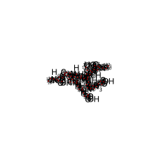 CCCOc1cc(N=Nc2ccc(N=Nc3ccccc3)cc2S(=O)(=O)O)c(C)cc1Cc1nc(Cc2ccc(N=Nc3ccc(N=Nc4ccc(S(=O)(=O)O)cc4)cc3)c(C)c2)nc(Nc2ccc(Nc3nc(Nc4ccc(N=Nc5ccc(N=Nc6ccc(S(=O)(=O)O)cc6)cc5)c(C)c4)nc(Nc4cc(C)c(N=Nc5ccc(N=Nc6ccccc6)cc5S(=O)(=O)O)cc4OCCC)n3)cc2)n1